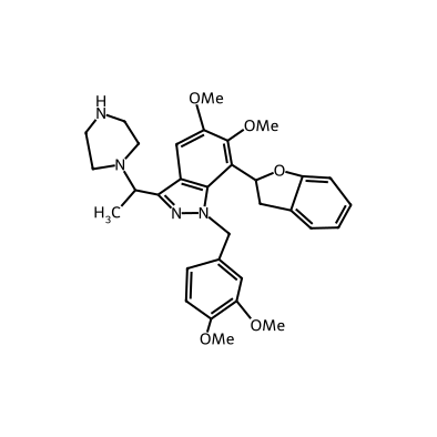 COc1ccc(Cn2nc(C(C)N3CCNCC3)c3cc(OC)c(OC)c(C4Cc5ccccc5O4)c32)cc1OC